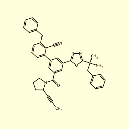 CC#CC1CCCN1C(=O)c1cc(-c2nnc([C@](C)(N)Cc3ccccc3)o2)cc(-c2cccc(Sc3ccccc3)c2C#N)c1